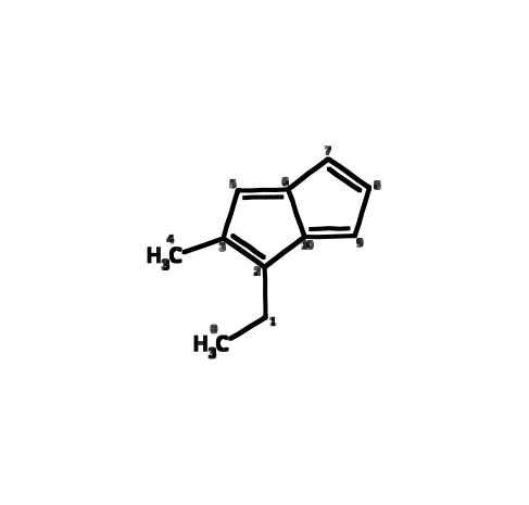 CCC1=C(C)C=C2C=CC=C21